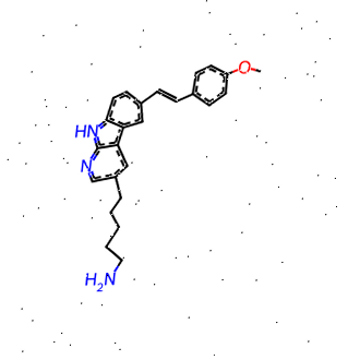 COc1ccc(C=Cc2ccc3[nH]c4ncc(CCCCCN)cc4c3c2)cc1